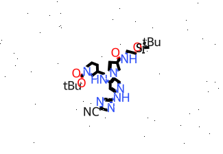 CC(C)(C)OC(=O)N1CCCC(CNc2cc(Nc3cnc(C#N)cn3)ncc2N2C=CC(C(=O)NCCO[Si](C)(C)C(C)(C)C)C2)C1